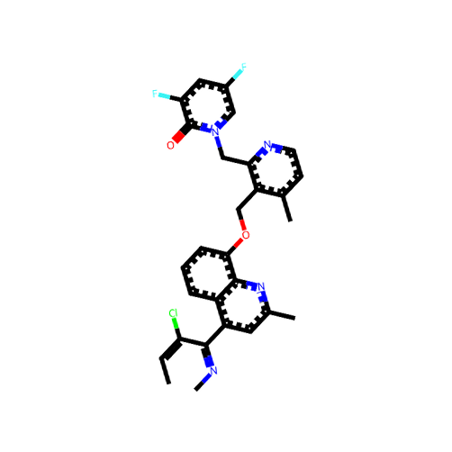 C/C=C(Cl)\C(=N/C)c1cc(C)nc2c(OCc3c(C)ccnc3Cn3cc(F)cc(F)c3=O)cccc12